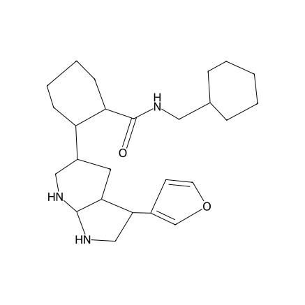 O=C(NCC1CCCCC1)C1CCCCC1C1CNC2NCC(c3ccoc3)C2C1